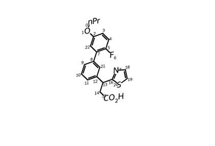 CCCOc1ccc(F)c(-c2cccc(C(CC(=O)O)c3nccs3)c2)c1